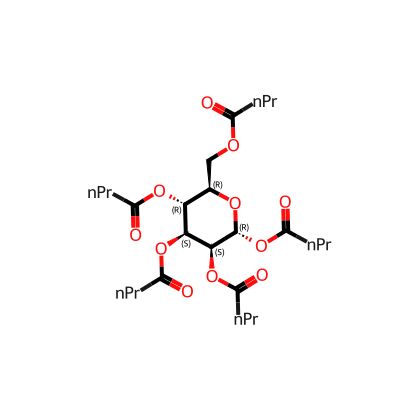 CCCC(=O)OC[C@H]1O[C@H](OC(=O)CCC)[C@@H](OC(=O)CCC)[C@@H](OC(=O)CCC)[C@@H]1OC(=O)CCC